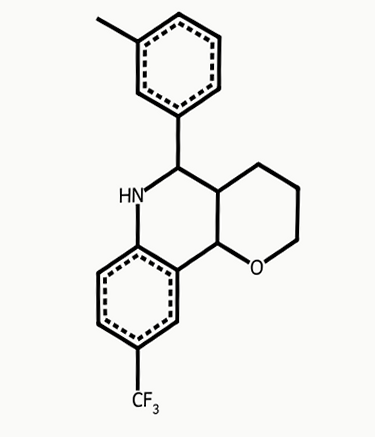 Cc1cccc(C2Nc3ccc(C(F)(F)F)cc3C3OCCCC23)c1